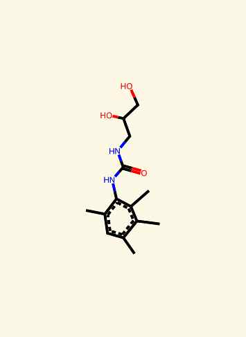 Cc1cc(C)c(NC(=O)NCC(O)CO)c(C)c1C